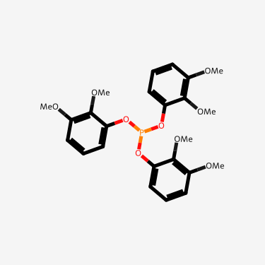 COc1cccc(OP(Oc2cccc(OC)c2OC)Oc2cccc(OC)c2OC)c1OC